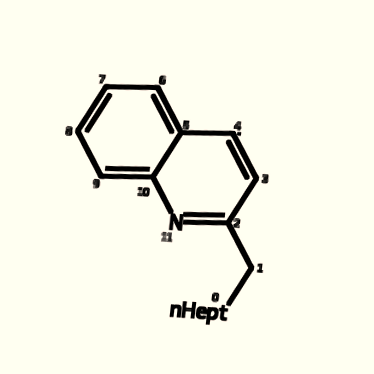 CCCCCCCCc1c[c]c2ccccc2n1